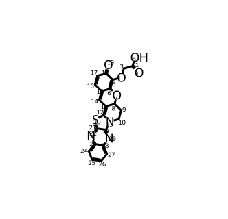 O=C(O)COC1=C2OC3CCN4C(=C3C=C2C=CC1=O)Sc1nc2ccccc2nc14